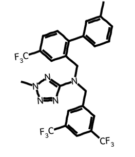 Cc1cccc(-c2ccc(C(F)(F)F)cc2CN(Cc2cc(C(F)(F)F)cc(C(F)(F)F)c2)c2nnn(C)n2)c1